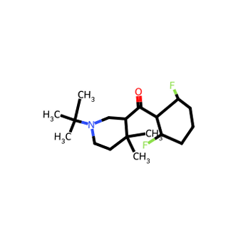 CC1(C)CCN(C(C)(C)C)CC1C(=O)C1C(F)CCCC1F